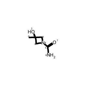 CC1(O)CN(C(N)=O)C1